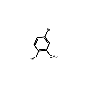 CC[CH]c1ccc(Br)cc1OC